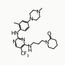 Cc1cc(N2CCN(C)CC2)ccc1Nc1ncc(C(F)(F)F)c(NCCCN2CCCCC2=O)n1